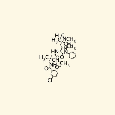 CCOc1ccc(Cl)cc1C(=O)NCC(C)(C)CC(=O)Nc1c(CC(C)(C)N(C)C)n(C)n(-c2ccccc2)c1=O